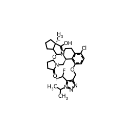 CC(C)n1nnc(COc2ccc(Cl)c3c2[C@@H](CN2CCCC2=O)N(C(=O)C2CCC[C@@]2(C)C(=O)O)CC3)c1C(F)F